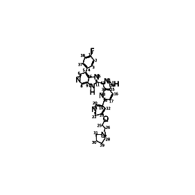 Fc1ccc(-c2cncc3[nH]c(-c4n[nH]c5ccc(-c6cncc(OCCN7CCCC7)c6)nc45)nc23)cc1